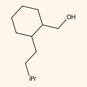 CC(C)CCC1CCCCC1CO